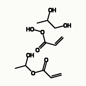 C=CC(=O)OC(C)O.C=CC(=O)OO.CC(O)CO